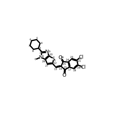 Cn1c(C2CCCCC2)nc2sc(C=C3C(=O)c4cc(Cl)c(Cl)cc4C3=O)cc21